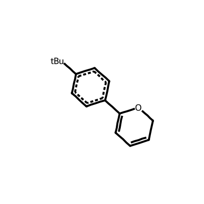 CC(C)(C)c1ccc(C2=CC=CCO2)cc1